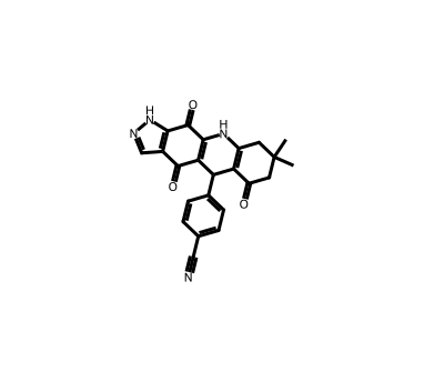 CC1(C)CC(=O)C2=C(C1)NC1=C(C(=O)c3cn[nH]c3C1=O)C2c1ccc(C#N)cc1